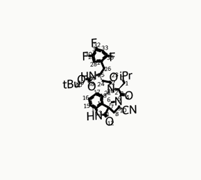 CC(C)C[C@@H](C(=O)N1C[C@]2(C[C@H]1C#N)C(=O)Nc1ccccc12)N(C)C(=O)C[C@@H](Cc1cc(F)c(F)cc1F)NC(=O)OC(C)(C)C